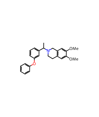 COc1cc2c(cc1OC)CN(C(C)c1cccc(Oc3ccccc3)c1)CC2